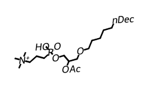 CCCCCCCCCCCCCCCOCC(COP(=O)(O)CCC[N+](C)(C)C)OC(C)=O